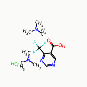 CN(C)C.CN(C)C.Cl.O=C(O)c1cncnc1C(F)(F)F